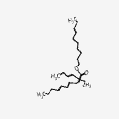 CCCCCCCCCCOC(=O)C(CC)(CCCC)CCCCCCCC